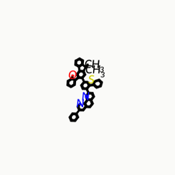 CC1(C)c2ccccc2-c2c1cc(-c1ccc(-c3ccc4ccc5cc(-c6ccccc6)cnc5c4n3)c3c1sc1ccccc13)c1c2oc2ccccc21